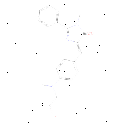 CN1C(=O)/C(=C/c2ccc(N(C)CCO)cc2)N=C1c1ccccc1